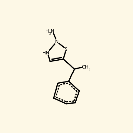 CC(C1=CNN(N)S1)c1ccccc1